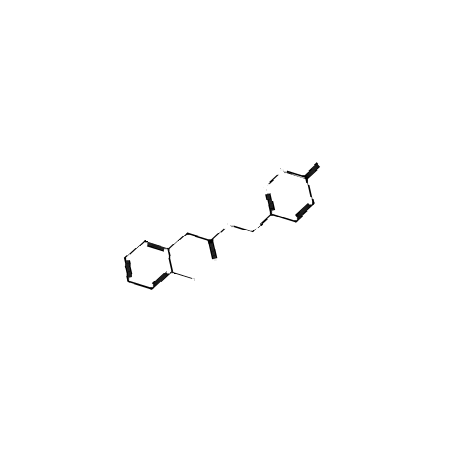 O=C(Cc1ccccc1F)NCc1ccc(=O)[nH]n1